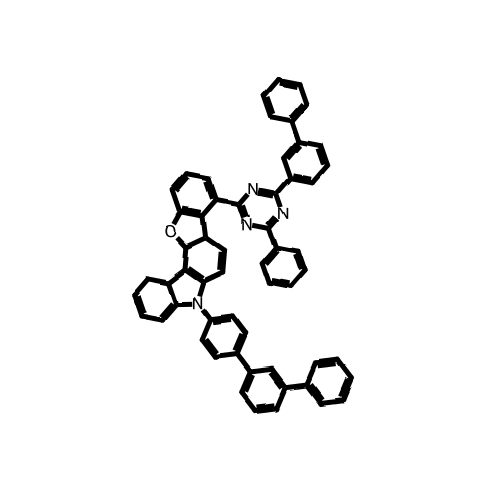 C1=CCC2C(=C1)N(c1ccc(-c3cccc(-c4ccccc4)c3)cc1)C1=C2C2Oc3cccc(-c4nc(-c5ccccc5)nc(-c5cccc(-c6ccccc6)c5)n4)c3C2C=C1